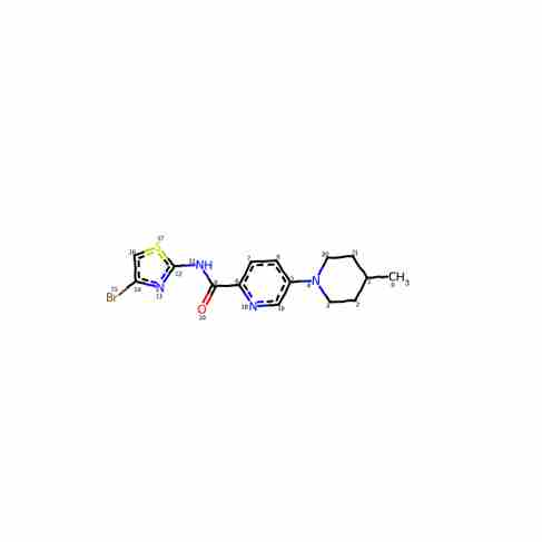 CC1CCN(c2ccc(C(=O)Nc3nc(Br)cs3)nc2)CC1